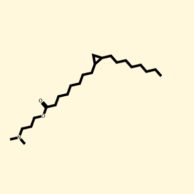 CCCCCCCCC1CC1CCCCCCCC(=O)OCCCN(C)C